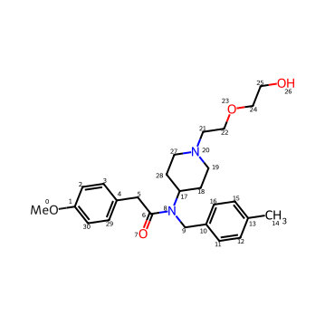 COc1ccc(CC(=O)N(Cc2ccc(C)cc2)C2CCN(CCOCCO)CC2)cc1